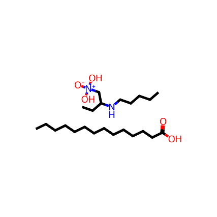 CCCCCCCCCCCCCC(=O)O.CCCCCNC(CC)C[N+]([O-])(O)O